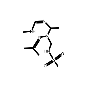 CN/C=N\C(C)N(CNS(C)(=O)=O)N=C(C)C